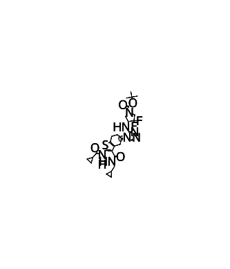 CC(C)(C)OC(=O)N1CC(Nc2nncn2[C@H]2CCc3sc(NC(=O)C4CC4)c(C(=O)NCC4CC4)c3C2)C(F)(F)C1